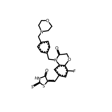 O=C1NC(=S)SC1=Cc1cc(F)c2c(c1)N(Cc1ccc(CN3CCOCC3)cc1)C(=O)CO2